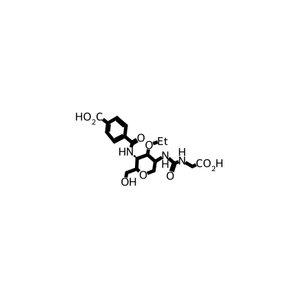 CCOC1C(NC(=O)NCC(=O)O)COC(CO)[C@@H]1NC(=O)c1ccc(C(=O)O)cc1